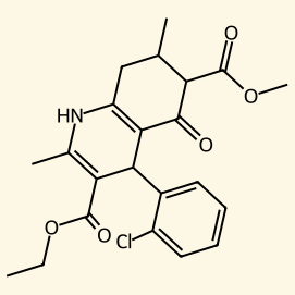 CCOC(=O)C1=C(C)NC2=C(C(=O)C(C(=O)OC)C(C)C2)C1c1ccccc1Cl